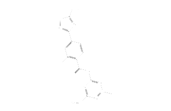 COC1=NC(N(C)C(=O)c2ccc(-c3noc(C(F)(F)F)n3)cc2F)=NS(C)=N1